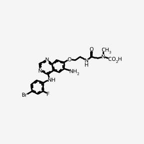 CN(CC(=O)NCCOc1cc2ncnc(Nc3ccc(Br)cc3F)c2cc1N)C(=O)O